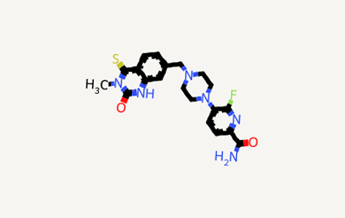 Cn1c(=O)[nH]c2cc(CN3CCN(c4ccc(C(N)=O)nc4F)CC3)ccc2c1=S